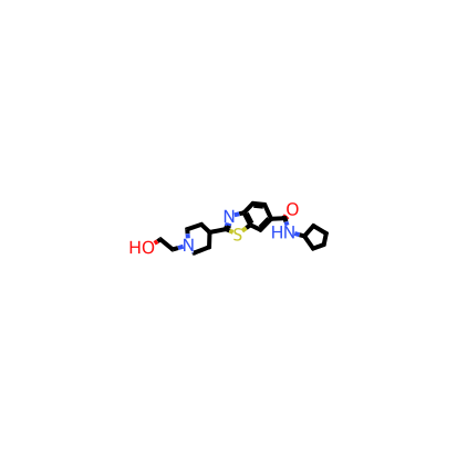 O=C(NC1CCCC1)c1ccc2nc(C3CCN(CCO)CC3)sc2c1